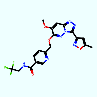 COc1cc2nnc(-c3cc(C)on3)n2nc1OCc1ccc(C(=O)NCC(F)(F)F)cn1